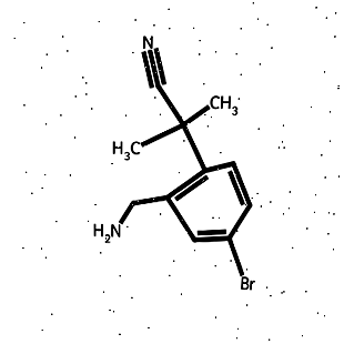 CC(C)(C#N)c1ccc(Br)cc1CN